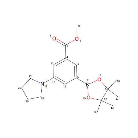 COC(=O)c1cc(B2OC(C)(C)C(C)(C)O2)cc(N2CCCC2)c1